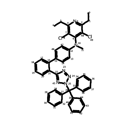 CCc1nc(CC)c(Cl)c(N(C)c2ccc(-c3ccccc3-c3nnn(C(c4ccccc4)(c4ccccc4)c4ccccc4)n3)cc2)c1Cl